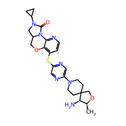 C[C@@H]1OCC2(CCN(c3cnc(Sc4ccnc5c4OCC4CN(C6CC6)C(=O)N54)cn3)CC2)[C@@H]1N